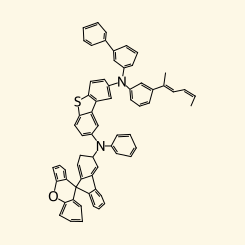 C/C=C\C=C(/C)c1cccc(N(c2cccc(-c3ccccc3)c2)c2ccc3sc4ccc(N(c5ccccc5)C5C=C6C(=CC5)C5(c7ccccc7Oc7ccccc75)c5ccccc56)cc4c3c2)c1